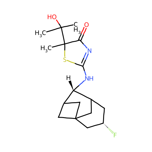 CC(C)(O)C1(C)SC(N[C@@H]2C3C[C@H](F)CC4(C3)CC2C4)=NC1=O